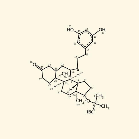 CC(C)(C)[Si](C)(C)OC1CC[C@H]2[C@@H]3C(CCCc4cc(O)cc(O)c4)CC4CC(=O)CC[C@]4(C)[C@@H]3CC[C@]12C